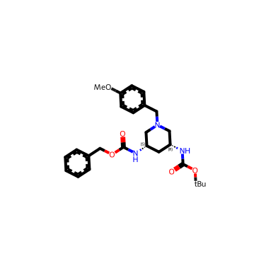 COc1ccc(CN2C[C@@H](NC(=O)OCc3ccccc3)C[C@@H](NC(=O)OC(C)(C)C)C2)cc1